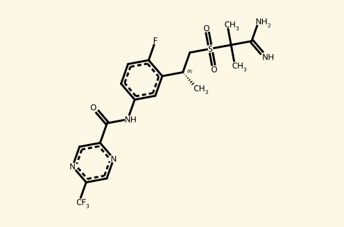 C[C@@H](CS(=O)(=O)C(C)(C)C(=N)N)c1cc(NC(=O)c2cnc(C(F)(F)F)cn2)ccc1F